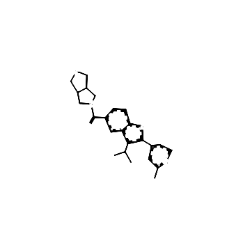 Cc1cc(-c2[nH]c3ccc(C(=O)N4CC5CNCC5C4)cc3c2C(C)C)ccn1.Cl